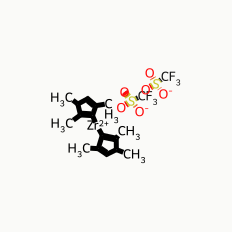 CC1=CC(C)C(C)=[C]1[Zr+2][C]1=C(C)C(C)C=C1C.O=S(=O)([O-])C(F)(F)F.O=S(=O)([O-])C(F)(F)F